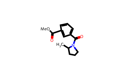 COC(=O)c1cccc(C(=O)N2CCCC2C)c1